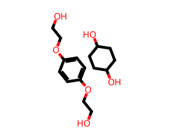 OC1CCC(O)CC1.OCCOc1ccc(OCCO)cc1